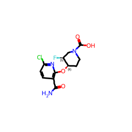 NC(=O)c1ccc(Cl)nc1O[C@@H]1CCN(C(=O)O)C[C@@H]1F